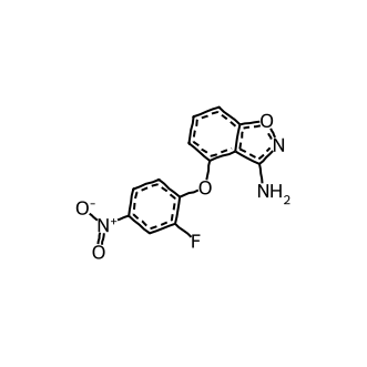 Nc1noc2cccc(Oc3ccc([N+](=O)[O-])cc3F)c12